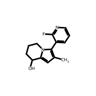 Cc1cc2n(c1-c1cccnc1F)CCCC2O